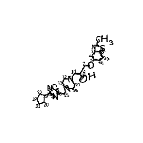 Cc1nc2cc(OC[C@H](O)CN3CCN(Cc4nc(C5CCCC5)no4)CC3)ccc2s1